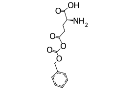 N[C@@H](CCC(=O)OC(=O)OCc1ccccc1)C(=O)O